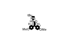 COc1ccc(C(c2ccc(OC)cc2)C(C)(C)C(=O)Nc2nc(C(C)(C)C)cs2)cc1